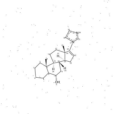 C[C@]12CCCCC1C(O)C[C@@H]1[C@@H]2CC[C@]2(C)C(n3ccnc3)=CC[C@@H]12